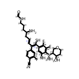 N#Cc1ccc(C(/C=C/CC(N)CCCNC=O)=C(/S)c2cc(N)c(N(N)C3COCCC3O)c(F)c2F)cc1F